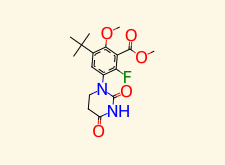 COC(=O)c1c(F)c(N2CCC(=O)NC2=O)cc(C(C)(C)C)c1OC